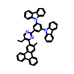 CCc1cnc(-c2cc(-n3c4ccccc4c4ccccc43)cc(-n3c4ccccc4c4ccccc43)c2)nc1-c1cc2c3ccccc3c3ccccc3c2cc1C